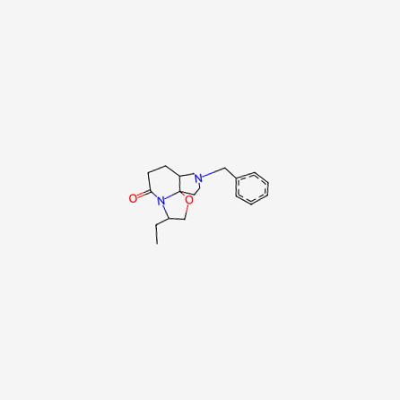 CCC1COC23CCN(Cc4ccccc4)CC2CCC(=O)N13